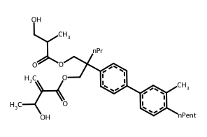 C=C(C(=O)OCC(CCC)(COC(=O)C(C)CO)c1ccc(-c2ccc(CCCCC)c(C)c2)cc1)C(C)O